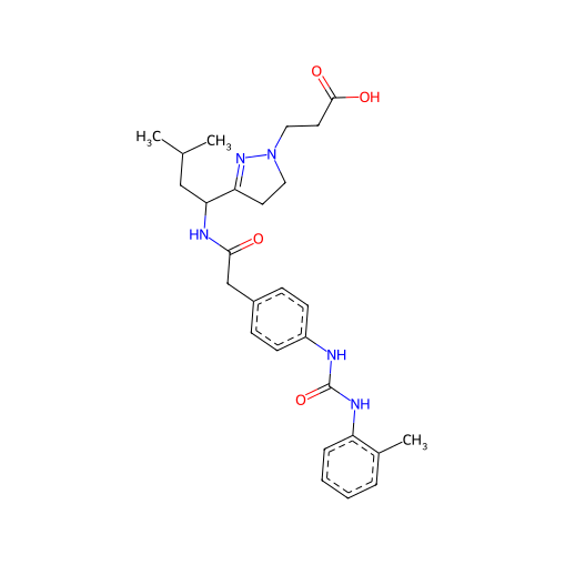 Cc1ccccc1NC(=O)Nc1ccc(CC(=O)NC(CC(C)C)C2=NN(CCC(=O)O)CC2)cc1